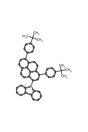 CC(C)(C)c1ccc(-c2ccc3ccc4c(-n5c6ccccc6c6ccccc65)cc(-c5ccc(C(C)(C)C)cc5)c5ccc2c3c54)cc1